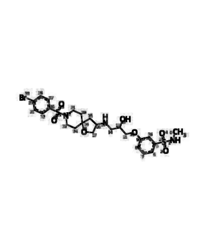 CNS(=O)(=O)c1cccc(OCC(O)CNC2COC3(CCN(S(=O)(=O)c4ccc(Br)cc4)CC3)C2)c1